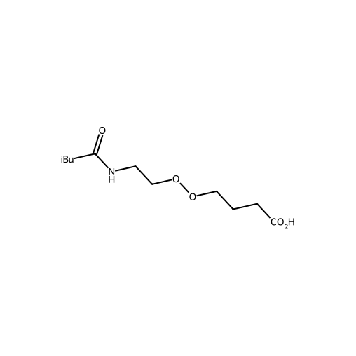 CCC(C)C(=O)NCCOOCCCC(=O)O